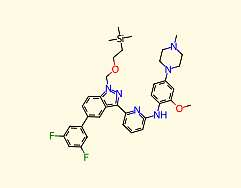 COc1cc(N2CCN(C)CC2)ccc1Nc1cccc(-c2nn(COCC[Si](C)(C)C)c3ccc(-c4cc(F)cc(F)c4)cc23)n1